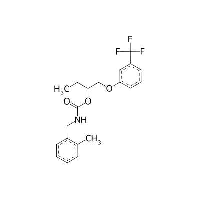 CCC(COc1cccc(C(F)(F)F)c1)OC(=O)NCc1ccccc1C